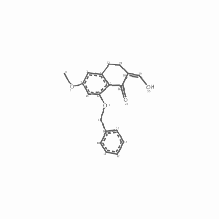 COc1cc2c(c(OCc3ccccc3)c1)C(=O)/C(=C\O)CC2